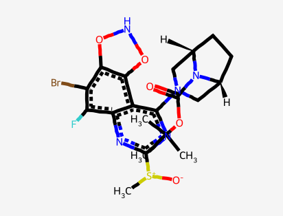 C[S+]([O-])c1nc(N2C[C@H]3CC[C@@H](C2)N3C(=O)OC(C)(C)C)c2c3c(c(Br)c(F)c2n1)ONO3